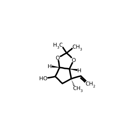 C=C[C@@]1(C)CC(O)[C@@H]2OC(C)(C)O[C@@H]21